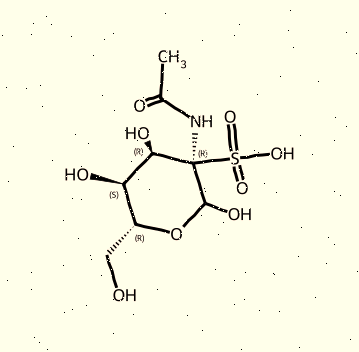 CC(=O)N[C@]1(S(=O)(=O)O)C(O)O[C@H](CO)[C@@H](O)[C@H]1O